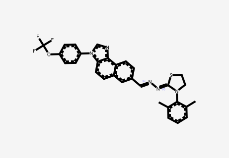 Cc1cccc(C)c1N1CCS/C1=N\N=C\c1ccc2c(ccc3c2ncn3-c2ccc(OC(F)(F)F)cc2)c1